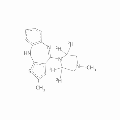 [2H]C1([2H])CN(C)CC([2H])([2H])N1C1=Nc2ccccc2Nc2sc(C)cc21